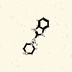 c1ccc2sc([SH2]N3CCOCC3)nc2c1